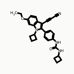 CCOc1ccc2c(C#CC#N)c(-c3ccc(NC(=O)NC4CCC4)cc3)n(C3CCC3)c2c1